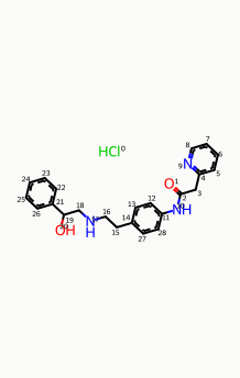 Cl.O=C(Cc1ccccn1)Nc1ccc(CCNCC(O)c2ccccc2)cc1